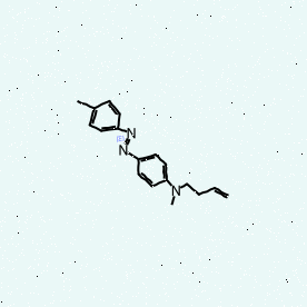 C=CCCN(C)c1ccc(/N=N/c2ccc(C)cc2)cc1